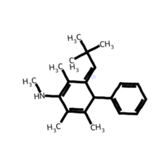 CNC1=C(C)/C(=C\C(C)(C)C)C(c2ccccc2)C(C)=C1C